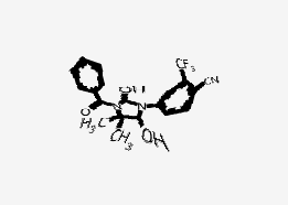 CC1(C)C(O)N(c2ccc(C#N)c(C(F)(F)F)c2)C(O)N1C(=O)c1ccccc1